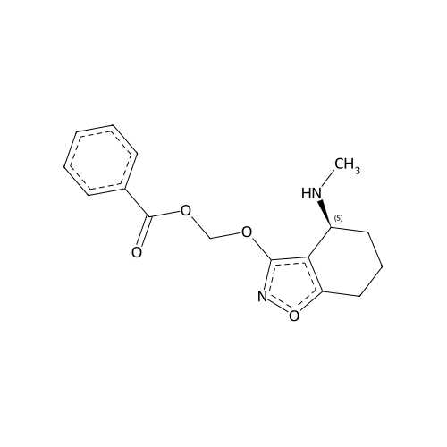 CN[C@H]1CCCc2onc(OCOC(=O)c3ccccc3)c21